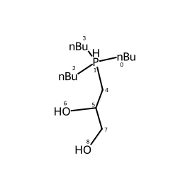 CCCC[PH](CCCC)(CCCC)CC(O)CO